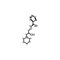 OC(CON=C(Br)c1ccnnc1)CN1CCCCC1